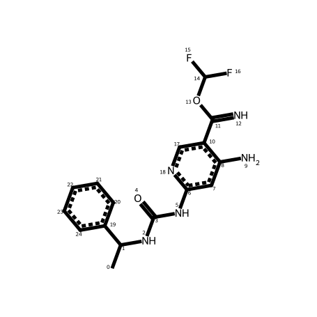 CC(NC(=O)Nc1cc(N)c(C(=N)OC(F)F)cn1)c1ccccc1